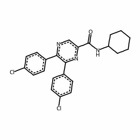 O=C(NC1CCCCC1)c1cnc(-c2ccc(Cl)cc2)c(-c2ccc(Cl)cc2)n1